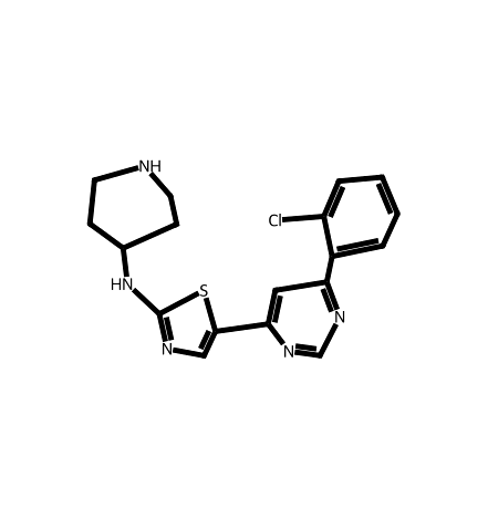 Clc1ccccc1-c1cc(-c2cnc(NC3CCNCC3)s2)ncn1